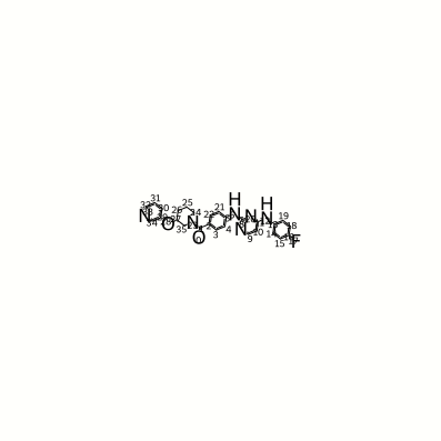 O=C(c1ccc(Nc2nccc(Nc3ccc(F)cc3)n2)cc1)N1CCCC(Oc2cccnc2)C1